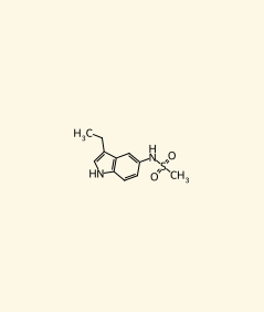 CCc1c[nH]c2ccc(NS(C)(=O)=O)cc12